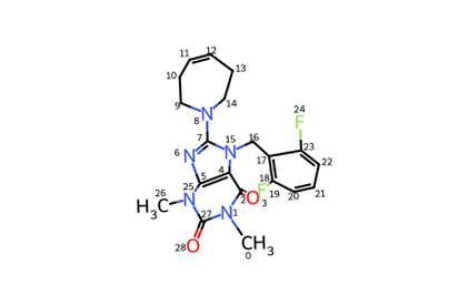 Cn1c(=O)c2c(nc(N3CCC=CCC3)n2Cc2c(F)cccc2F)n(C)c1=O